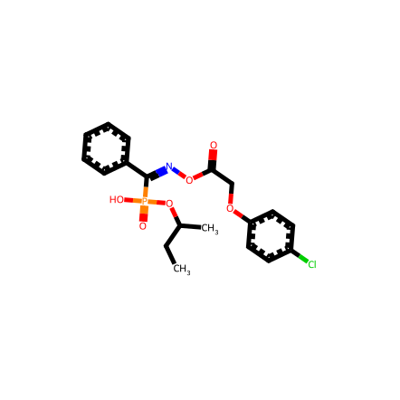 CCC(C)OP(=O)(O)C(=NOC(=O)COc1ccc(Cl)cc1)c1ccccc1